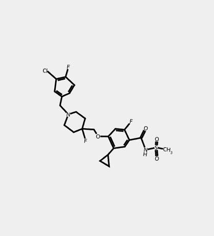 CS(=O)(=O)NC(=O)c1cc(C2CC2)c(OCC2(F)CCN(Cc3ccc(F)c(Cl)c3)CC2)cc1F